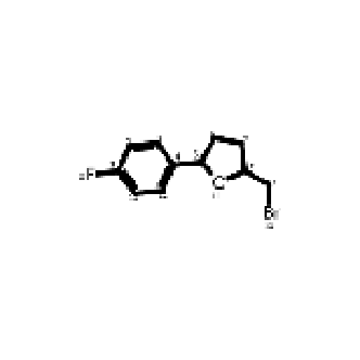 Fc1ccc(C2CCC(CBr)O2)cc1